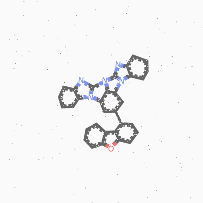 c1ccc2c(c1)nc1n2c2cc(-c3cccc4oc5ccccc5c34)cc3c2n1c1nc2ccccc2n31